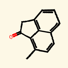 Cc1ccc2cccc3c2c1C(=O)C3